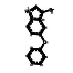 Brc1c[nH]c2ccc(Oc3ccccc3)cc12